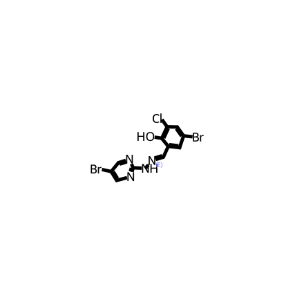 Oc1c(Cl)cc(Br)cc1/C=N/Nc1ncc(Br)cn1